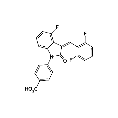 O=C(O)c1ccc(N2C(=O)/C(=C\c3c(F)cccc3F)c3c(F)cccc32)cc1